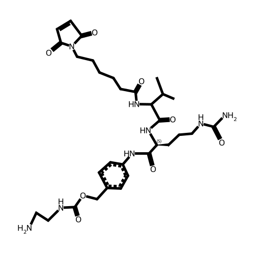 CC(C)C(NC(=O)CCCCCN1C(=O)C=CC1=O)C(=O)N[C@@H](CCCNC(N)=O)C(=O)Nc1ccc(COC(=O)NCCN)cc1